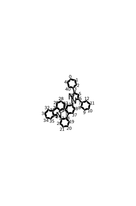 c1ccc(-c2cc(-c3ccccc3)n(-c3ccc(-c4ccccc4-n4c5ccccc5c5ccccc54)cc3)n2)cc1